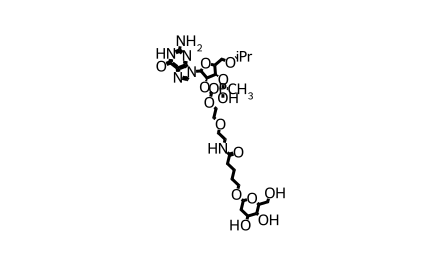 CC(C)OCC1OC(n2cnc3c(=O)[nH]c(N)nc32)[C@H](OCOCCOCCNC(=O)CCCCOC2CC(O)C(O)C(CO)O2)[C@@H]1OP(C)(=O)O